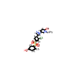 CCCn1cc(-n2cc(-c3ccc(S(=O)(=O)C4CC[C@H](O)C4)cc3Cl)cn2)ccc1=O